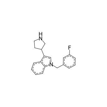 Fc1cccc(Cn2cc(C3CCNC3)c3ccccc32)c1